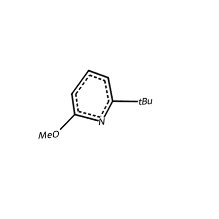 COc1cccc(C(C)(C)C)n1